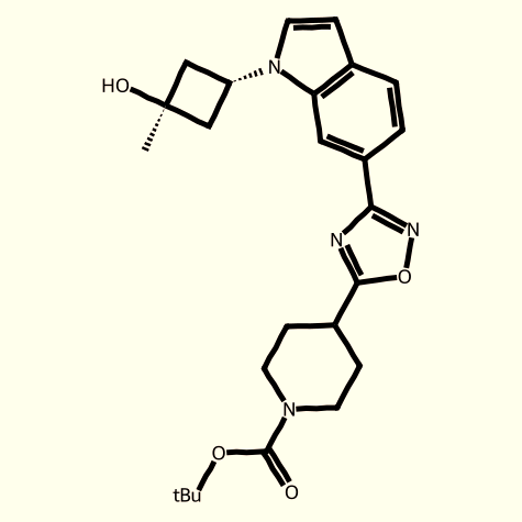 CC(C)(C)OC(=O)N1CCC(c2nc(-c3ccc4ccn([C@H]5C[C@](C)(O)C5)c4c3)no2)CC1